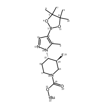 Cc1c(B2OC(C)(C)C(C)(C)O2)cnn1[C@H]1CCN(C(=O)OC(C)(C)C)C[C@@H]1F